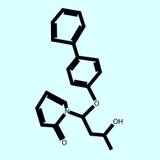 CC(O)CC(Oc1ccc(-c2ccccc2)cc1)n1ccccc1=O